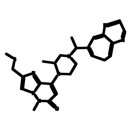 CSCc1cn2c(n1)c(N1CCN(C(C)C3=CCC=c4nccnc4=C3)CC1C)cc(=O)n2C